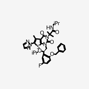 Cc1c(-n2nccn2)sc2c1c(=O)n(C(C)(C)C(=O)NC(C)C)c(=O)n2C[C@H](OC(C)C)c1cc(F)ccc1OCc1ccccc1